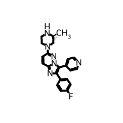 C[C@H]1CN(c2ccc3nc(-c4ccc(F)cc4)c(-c4ccncc4)n3n2)CCN1